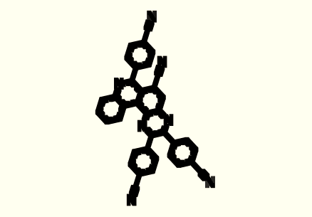 N#Cc1ccc(-c2nc3cc(C#N)c4c(-c5ccc(C#N)cc5)nc5ccccc5c4c3nc2-c2ccc(C#N)cc2)cc1